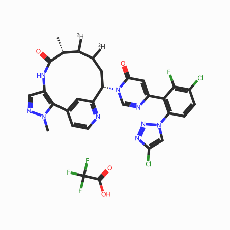 O=C(O)C(F)(F)F.[2H]C1C[C@H](n2cnc(-c3c(-n4cc(Cl)nn4)ccc(Cl)c3F)cc2=O)c2cc(ccn2)-c2c(cnn2C)NC(=O)[C@H](C)C1[2H]